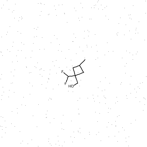 CC1CC(CO)(C(F)F)C1